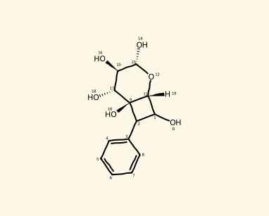 OC1C(c2ccccc2)[C@@]2(O)[C@@H]1O[C@@H](O)[C@H](O)[C@H]2O